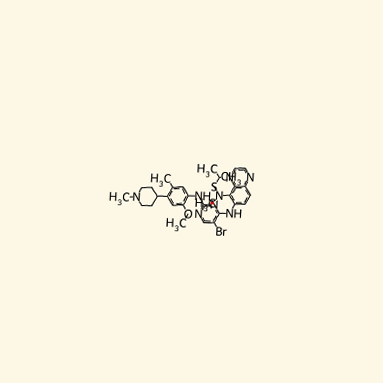 COc1cc(C2CCN(C)CC2)c(C)cc1Nc1ncc(Br)c(Nc2ccc3nccnc3c2N(C)SC(C)C)n1